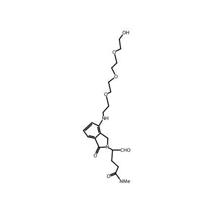 CNC(=O)CCC(C=O)N1Cc2c(NCCOCCOCCOCCO)cccc2C1=O